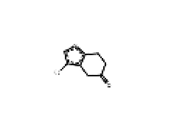 CCc1csc2c1CC(=O)CC2